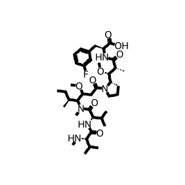 CC[C@H](C)C(C(CC(=O)N1CCC[C@H]1[C@H](OC)[C@@H](C)C(=O)N[C@@H](Cc1cccc(F)c1)C(=O)O)OC)N(C)C(=O)[C@@H](NC(=O)[C@@H](NC)C(C)C)C(C)C